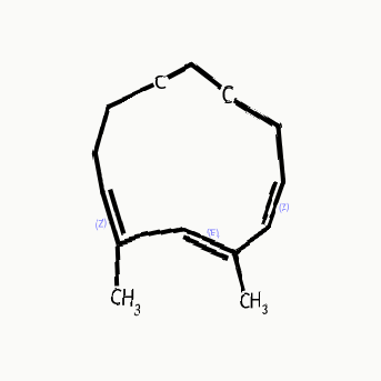 CC1=C\CCCCCC\C=C/C(C)=C/1